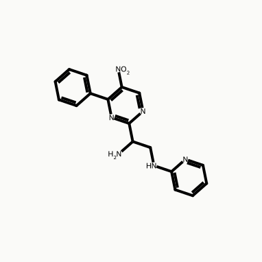 NC(CNc1ccccn1)c1ncc([N+](=O)[O-])c(-c2ccccc2)n1